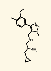 CCc1nc(-c2nnn(C)c2CNC[C@@H](N)CC2CC2)ccc1I